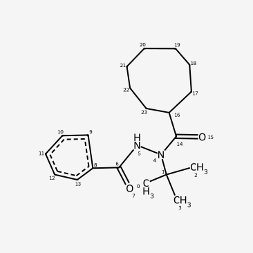 CC(C)(C)N(NC(=O)c1ccccc1)C(=O)C1CCCCCCC1